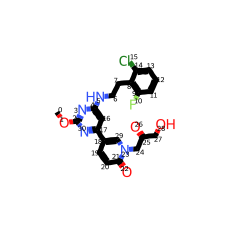 COc1nc(NCCc2c(F)cccc2Cl)cc(-c2ccc(=O)n(CC(=O)CO)c2)n1